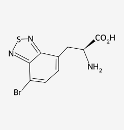 N[C@@H](Cc1ccc(Br)c2nsnc12)C(=O)O